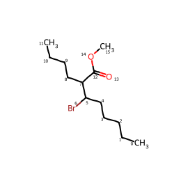 CCCCCC(Br)C(CCCC)C(=O)OC